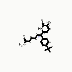 CC(C)(C)c1ccc(/C(=C\CCCC(N)=O)c2ccc(Br)c(=O)[nH]2)cc1